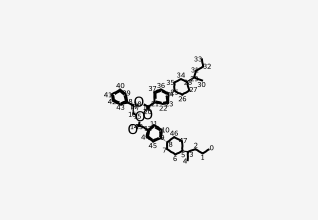 CCCC(C)[C@H]1CC[C@H](c2ccc(C(=O)OC[C@H](OC(=O)c3ccc([C@H]4CC[C@H](C(C)CCC)CC4)cc3)c3ccccc3)cc2)CC1